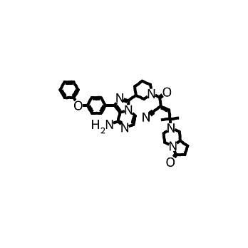 CC(C)(C=C(C#N)C(=O)N1CCCC(c2nc(-c3ccc(Oc4ccccc4)cc3)c3c(N)nccn23)C1)N1CCN2C(=O)CCC2C1